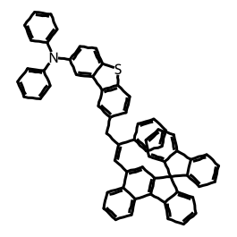 C(=C(\Cc1ccc2sc3ccc(N(c4ccccc4)c4ccccc4)cc3c2c1)c1ccccc1)/c1cc2c(c3ccccc13)-c1ccccc1C21c2ccccc2-c2ccccc21